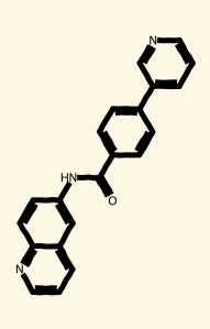 O=C(Nc1ccc2ncccc2c1)c1ccc(-c2cccnc2)cc1